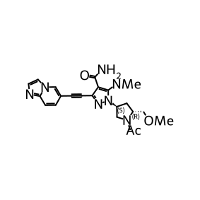 CNc1c(C(N)=O)c(C#Cc2ccc3nccn3c2)nn1[C@H]1C[C@H](COC)N(C(C)=O)C1